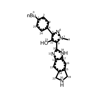 CCCCc1ccc(-c2nn(C)c(-c3nc4cc5c(cc4[nH]3)CNC5)c2O)cc1